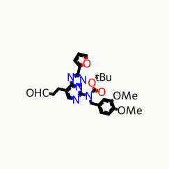 COc1ccc(CN(C(=O)OC(C)(C)C)c2ncc(CCC=O)c3nc(-c4ccco4)nn23)cc1OC